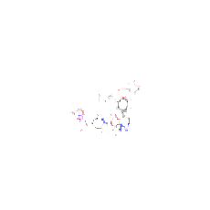 COc1cc(C(=O)N2CC3CC(C2)O3)cnc1-c1cc2nccc(-c3ccc(OC4CCOCC4)c(C#N)c3)c2o1